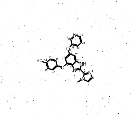 Cn1ccnc1-c1nc2c(Oc3ccc(F)cc3)cc(Oc3cccnc3)cc2[nH]1